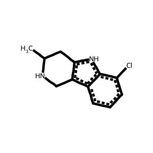 CC1Cc2[nH]c3c(Cl)cccc3c2CN1